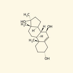 C[C@]12CC[C@@H](O)CC1=C[C@H](O)[C@@H]1[C@@H]2CC[C@@]2(C)[C@H]1CC[C@]2(C)O